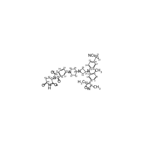 Cc1ccc(-c2c(C)noc2C)cc1N(c1ccc(C2(C#N)CC2)cc1)C1CN(C2CCN(c3ccc4c(c3)C(=O)N(C3CCC(=O)NC3=O)C4=O)CC2)C1